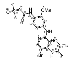 COc1cc(Nc2ncc(Br)c(N[C@H](C)[C@@H](C)O)n2)ccc1NC(=O)N=S(C)(C)=O